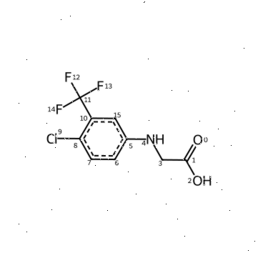 O=C(O)CNc1ccc(Cl)c(C(F)(F)F)c1